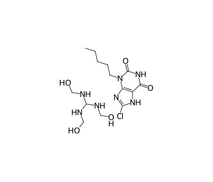 CCCCCn1c(=O)[nH]c(=O)c2[nH]c(Cl)nc21.OCNC(NCO)NCO